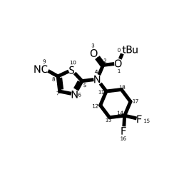 CC(C)(C)OC(=O)N(c1ncc(C#N)s1)C1CCC(F)(F)CC1